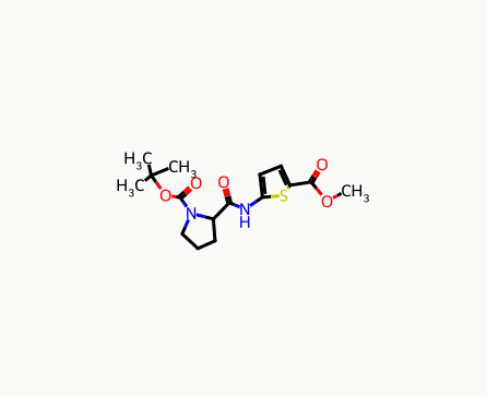 COC(=O)c1ccc(NC(=O)C2CCCN2C(=O)OC(C)(C)C)s1